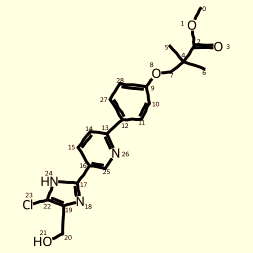 COC(=O)C(C)(C)COc1ccc(-c2ccc(-c3nc(CO)c(Cl)[nH]3)cn2)cc1